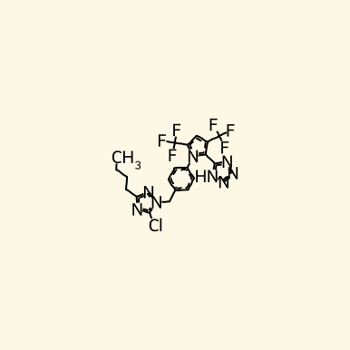 CCCCc1nc(Cl)n(Cc2ccc(-n3c(C(F)(F)F)cc(C(F)(F)F)c3-c3nnn[nH]3)cc2)n1